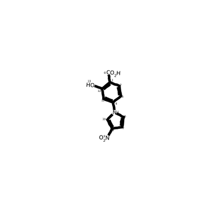 O=C(O)c1ccc(-n2ccc([N+](=O)[O-])c2)cc1O